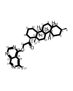 C[C@H]1CC[C@H]2[C@H](CC[C@@H]3[C@@H]2CC[C@]2(C)[C@@H](C(=O)COc4ncnc5cnc(F)cc45)CCC[C@@H]32)C1